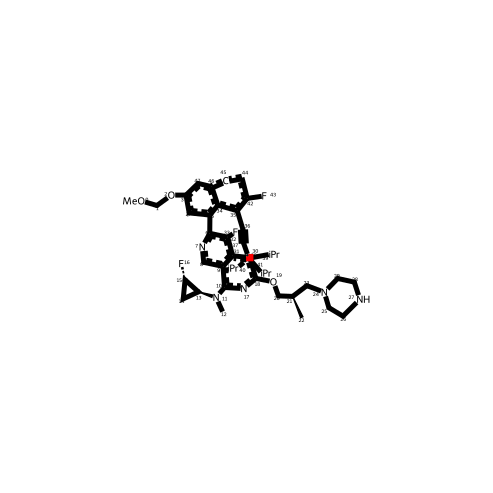 COCOc1cc(-c2ncc3c(N(C)[C@H]4C[C@@H]4F)nc(OC[C@H](C)CN4CCNCC4)nc3c2F)c2c(C#C[Si](C(C)C)(C(C)C)C(C)C)c(F)ccc2c1